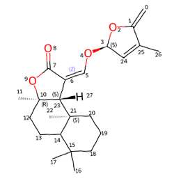 C=C1O[C@H](O/C=C2\C(=O)O[C@]3(C)CCC4C(C)(C)CCC[C@]4(C)[C@@H]23)C=C1C